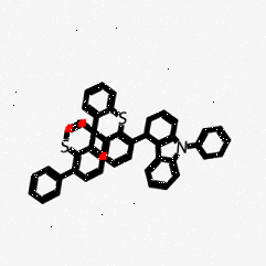 C1=CCCC(n2c3c(c4ccccc42)C(c2cccc4c2Sc2ccccc2C42c4ccccc4Sc4c(-c5ccccc5)cccc42)CC=C3)=C1